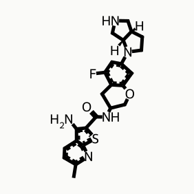 Cc1ccc2c(N)c(C(=O)NC3COc4cc(N5CC[C@H]6CNC[C@H]65)cc(F)c4C3)sc2n1